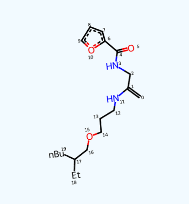 C=C(CNC(=O)c1ccco1)NCCCOCC(CC)CCCC